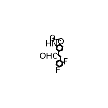 O=CC(=Cc1ccc(F)cc1F)c1ccc2c(c1)NC(=O)CO2